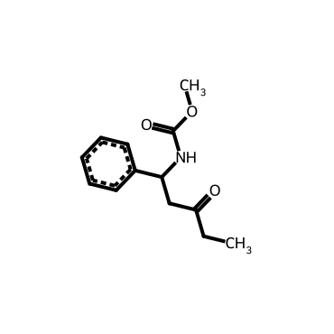 CCC(=O)CC(NC(=O)OC)c1ccccc1